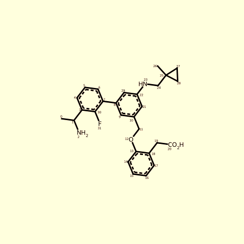 CC(N)c1cccc(-c2cc(COc3ccccc3CC(=O)O)cc(NCC3(C)CC3)c2)c1F